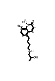 CC(O)CNCCCCc1ccc(O)c2c1ccc(=O)n2O